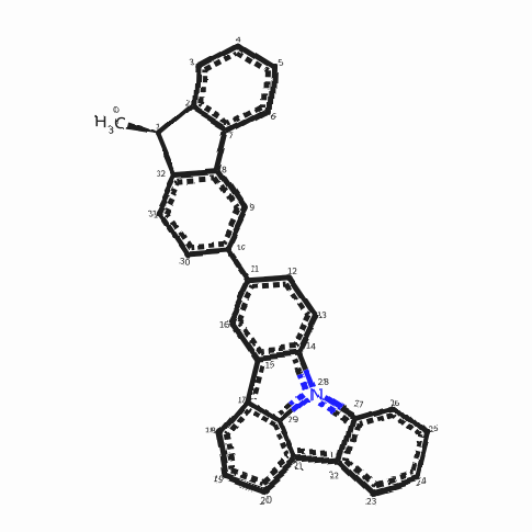 C[C@H]1c2ccccc2-c2cc(-c3ccc4c(c3)c3cccc5c6ccccc6n4c53)ccc21